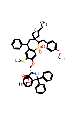 CCCCC1(CC)CC(c2ccccc2)c2cc(SC)c(OC[C@H](NC(c3ccccc3)(c3ccccc3)c3ccccc3)C(=O)OC)cc2S(=O)(=O)C1Cc1ccc(OC)cc1